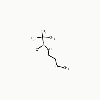 COCCN[S+]([O-])C(C)(C)C